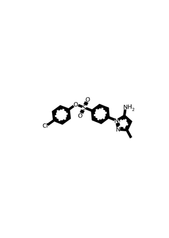 Cc1cc(N)n(-c2ccc(S(=O)(=O)Oc3ccc(Cl)cc3)cc2)n1